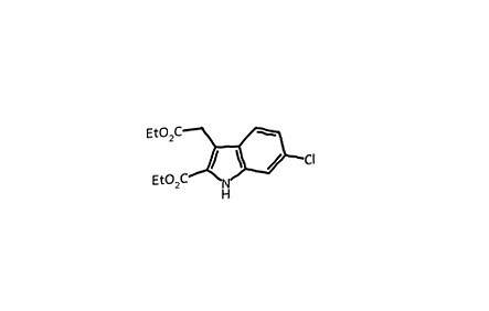 CCOC(=O)Cc1c(C(=O)OCC)[nH]c2cc(Cl)ccc12